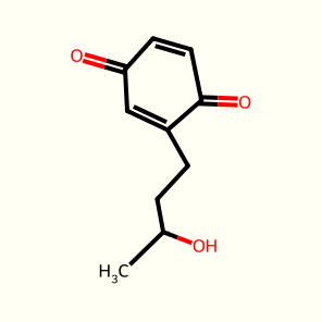 C[C](O)CCC1=CC(=O)C=CC1=O